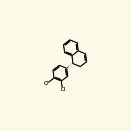 Clc1ccc([C@H]2CC=Cc3ccccc32)cc1Cl